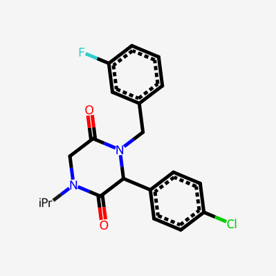 CC(C)N1CC(=O)N(Cc2cccc(F)c2)C(c2ccc(Cl)cc2)C1=O